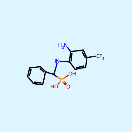 Nc1cc(C(F)(F)F)ccc1NC(c1ccccc1)P(=O)(O)O